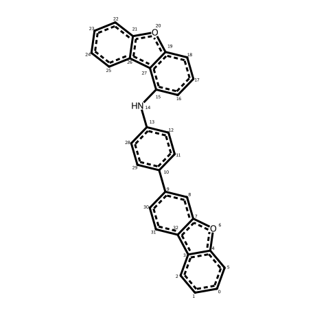 c1ccc2c(c1)oc1cc(-c3ccc(Nc4cccc5oc6ccccc6c45)cc3)ccc12